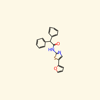 O=C(Nc1ncc(-c2ccco2)s1)C(c1ccccc1)c1ccccc1